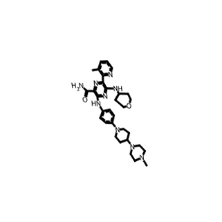 Cc1cccnc1-c1nc(C(N)=O)c(Nc2ccc(N3CCC(N4CCN(C)CC4)CC3)cc2)nc1NC1CCOCC1